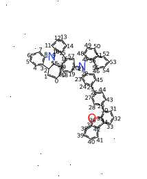 C1=CC2c3ccccc3N(c3ccccc3-c3cccc(N(c4ccc(-c5ccc(-c6cccc7c6oc6ccccc67)cc5)cc4)c4cccc5ccccc45)c3)C2C=C1